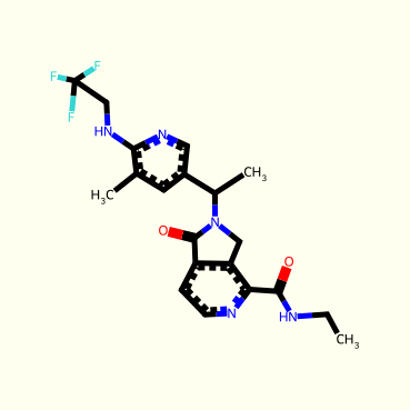 CCNC(=O)c1nccc2c1CN(C(C)c1cnc(NCC(F)(F)F)c(C)c1)C2=O